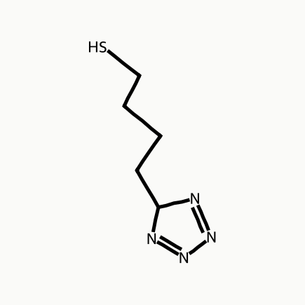 SCCCCC1N=NN=N1